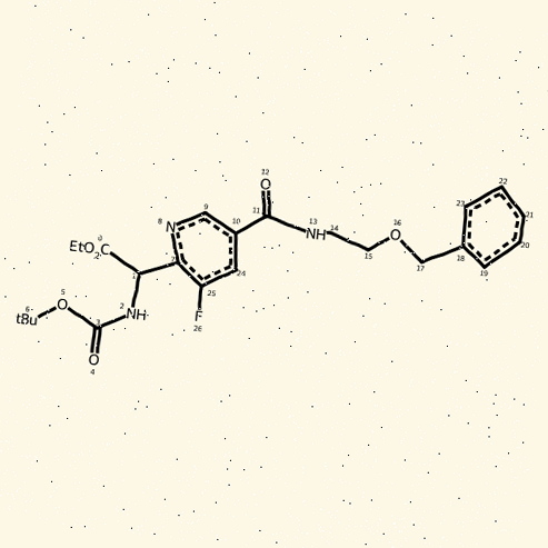 CCOC(=O)C(NC(=O)OC(C)(C)C)c1ncc(C(=O)NCCOCc2ccccc2)cc1F